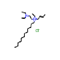 C/C=C/C[N+](CC)(CCCCCCCCCCCC)CCN(CC)CC.[Cl-]